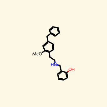 COc1cc(Cc2ccccc2)ccc1CCNCc1ccccc1O